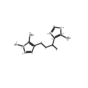 CC(CCc1cnn(C(C)C)c1C(C)(C)C)c1ncsc1C(C)(C)C